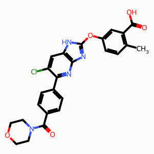 Cc1ccc(Oc2nc3nc(-c4ccc(C(=O)N5CCOCC5)cc4)c(Cl)cc3[nH]2)cc1C(=O)O